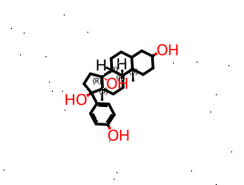 C[C@]12CCC(O)CC1CC[C@@H]1[C@H]2CC[C@]2(C)C(O)(c3ccc(O)cc3)CC[C@@]12O